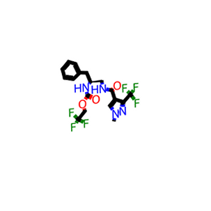 Cn1cc(C(=O)NC[C@H](Cc2ccccc2)NC(=O)OCC(F)(F)F)c(C(F)(F)F)n1